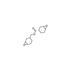 O=C(OCC1CCC2OC2C1)[C@H]1CCC2OC2C1